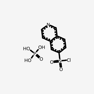 O=P(O)(O)O.O=S(=O)(Cl)c1ccc2cnccc2c1